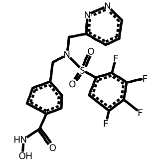 O=C(NO)c1ccc(CN(Cc2cccnn2)S(=O)(=O)c2cc(F)c(F)c(F)c2F)cc1